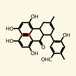 CC1=CC(c2cc(C=O)c(C)cc2O)C(C(=O)c2ccc(O)cc2O)C(c2ccc(O)cc2O)C1